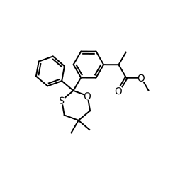 COC(=O)C(C)c1cccc(C2(c3ccccc3)OCC(C)(C)CS2)c1